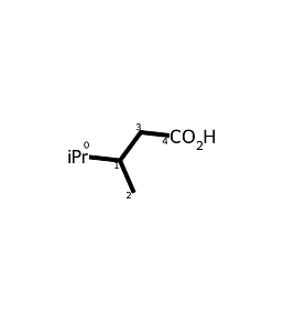 CC(C)C(C)CC(=O)O